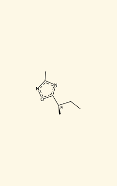 CC[C@@H](C)c1nc(C)no1